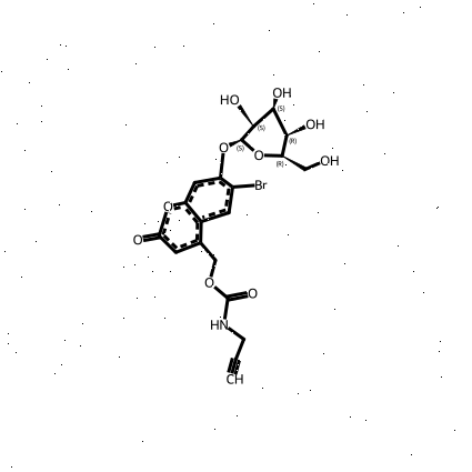 C#CCNC(=O)OCc1cc(=O)oc2cc(O[C@@H]3O[C@H](CO)[C@H](O)[C@H](O)[C@@H]3O)c(Br)cc12